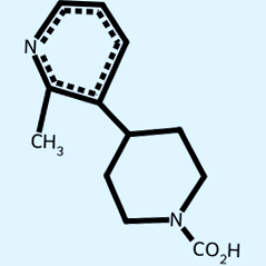 Cc1ncccc1C1CCN(C(=O)O)CC1